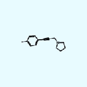 Cc1ccc(C#CCN2CCCC2)cc1